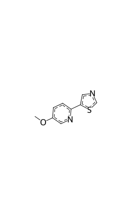 COc1ccc(-c2cncs2)nc1